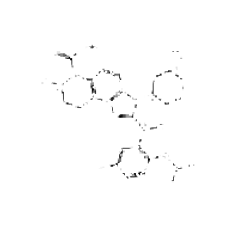 COC(=O)N1c2ccc3c(nc([C@@H](O)c4cc(F)ccc4OC(F)F)n3[C@H]3CCC[C@@H](C(=O)O)C3)c2CC[C@H]1C